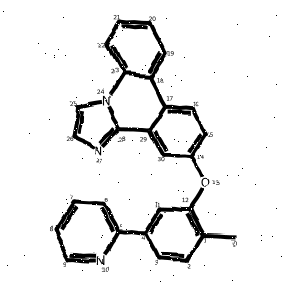 Cc1ccc(-c2ccccn2)cc1Oc1ccc2c3ccccc3n3ccnc3c2c1